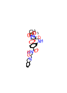 CS(=O)(=O)N1CC2(C1)Oc1ccc(C(=O)NCC(O)CN3CCc4ccccc4C3)cc1NC2=O